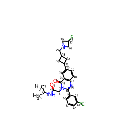 CC(C)NC(=O)Cn1c(-c2cccc(Cl)c2)nc2ccc(C3CC(CN4CC(F)C4)C3)cc2c1=O